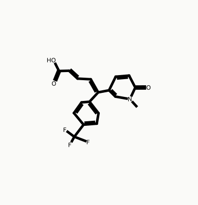 Cn1cc(/C(=C/C=C/C(=O)O)c2ccc(C(F)(F)F)cc2)ccc1=O